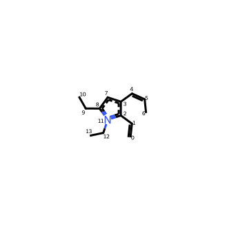 C=Cc1c(/C=C\C)cc(CC)n1CC